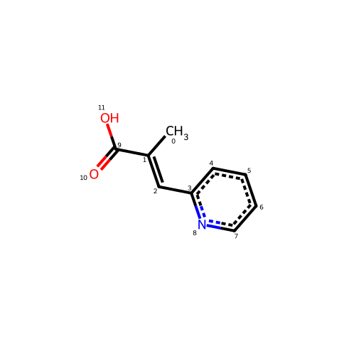 C/C(=C\c1ccccn1)C(=O)O